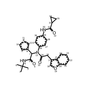 CC(C)(C)NC(=O)C(c1ccsc1)N(C(=O)Cc1coc2ccccc12)c1ccc(NC(=O)C2CC2)cc1